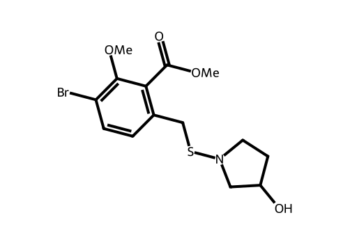 COC(=O)c1c(CSN2CCC(O)C2)ccc(Br)c1OC